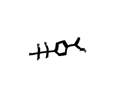 NC(=O)c1ccc(C(F)(F)C(F)(F)F)cc1